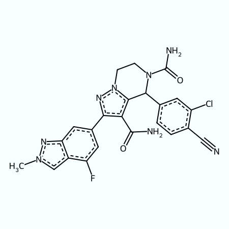 Cn1cc2c(F)cc(-c3nn4c(c3C(N)=O)C(c3ccc(C#N)c(Cl)c3)N(C(N)=O)CC4)cc2n1